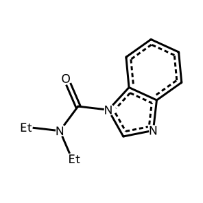 CCN(CC)C(=O)n1cnc2ccccc21